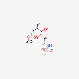 C=C(CC(=O)OCCCCCCCC)C(=O)OCCNS(C)(=O)=O